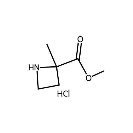 COC(=O)C1(C)CCN1.Cl